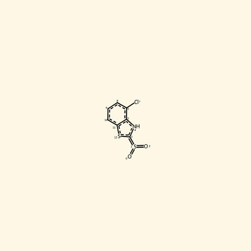 O=S(=O)=c1[nH]c2c(Cl)cccc2s1